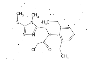 CCc1cccc(CC)c1N(Cc1nnc(SC)n1C)C(=O)CCl